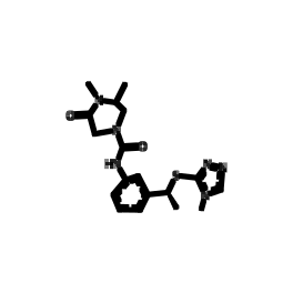 CC1CN(C(=O)Nc2cccc([C@H](C)Sc3nncn3C)c2)CC(=O)N1C